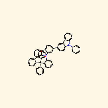 C1=CCC(n2c3ccccc3c3cc(-c4ccc5c6ccccc6n(-c6ccccc6C6(c7ccccc7)c7ccccc7-c7ccccc76)c5c4)ccc32)C=C1